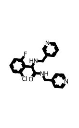 O=C(NCc1ccncc1)C(NCc1cccnc1)c1c(F)cccc1Cl